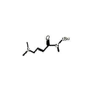 CN(C)C/C=C/C(=O)N(C)C(C)(C)C